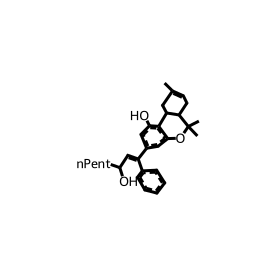 CCCCCC(O)C=C(c1ccccc1)c1cc(O)c2c(c1)OC(C)(C)C1CC=C(C)CC21